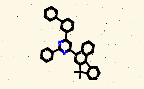 CC1(C)c2ccccc2-c2c1cc(-c1cc(-c3cccc(-c4ccccc4)c3)nc(-c3ccccc3)n1)c1ccccc21